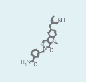 C/C=C(\C=N)Cc1ccc2c(c1)c1cnn(Cc3cccc(C(N)=O)c3)c(=O)c1n2C